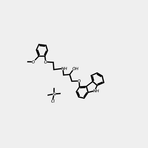 COc1ccccc1OCCNCC(O)COc1cccc2[nH]c3ccccc3c12.C[Si](C)(C)Cl